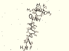 CC1(C)CC(NC(=O)C23CC(c4ccc(OCC(=CF)CN)cc4)(C2)C3)CC(C)(C)O1